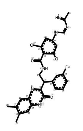 CC(=N)/N=C\Nc1cc(Cl)c(C(=O)NCC(c2cccc(F)c2)c2nc3cc(C)c(C)cc3[nH]c2=O)c(Cl)c1